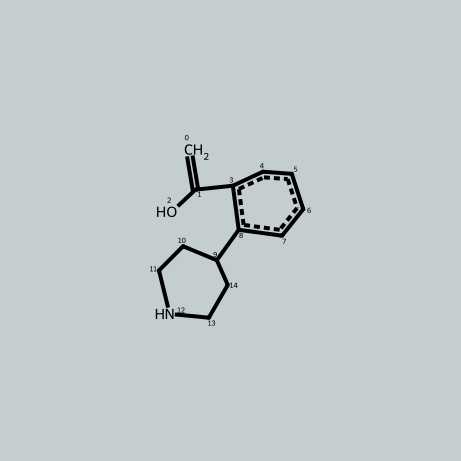 C=C(O)c1ccccc1C1CCNCC1